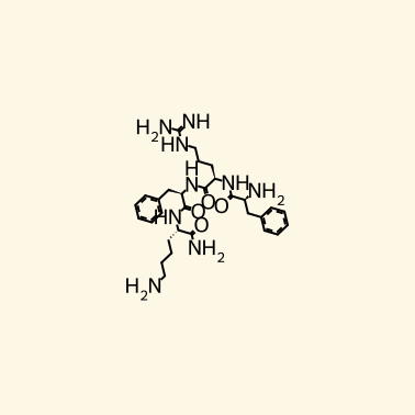 N=C(N)NCCC[C@@H](NC(=O)[C@@H](N)Cc1ccccc1)C(=O)N[C@H](Cc1ccccc1)C(=O)N[C@@H](CCCCN)C(N)=O